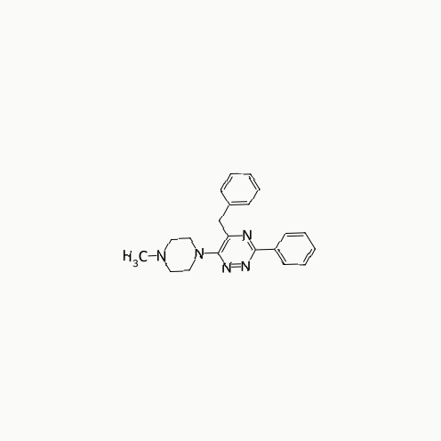 CN1CCN(c2nnc(-c3ccccc3)nc2Cc2ccccc2)CC1